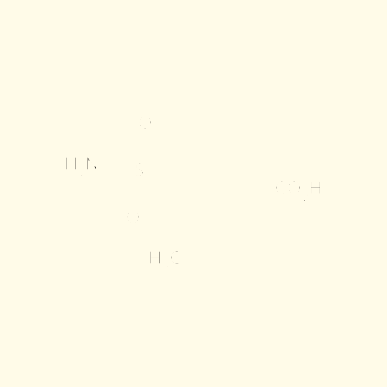 C[C@@H](CC(=O)O)CS(N)(=O)=O